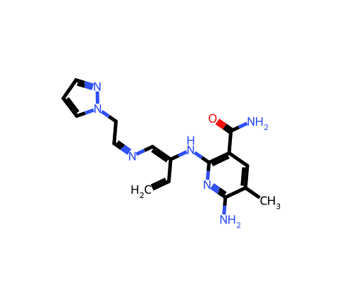 C=C/C(=C\N=C/Cn1cccn1)Nc1nc(N)c(C)cc1C(N)=O